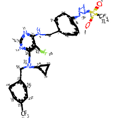 O=S(=O)(Nc1ccc(CNc2ncnc(N(Cc3ccc(C(F)(F)F)cc3)C3CC3)c2F)cc1)C(F)(F)F